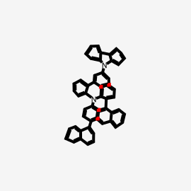 c1cc(-c2ccccc2N(c2ccc(-c3cccc4ccccc34)cc2)c2ccccc2-c2cccc3ccccc23)cc(-n2c3ccccc3c3ccccc32)c1